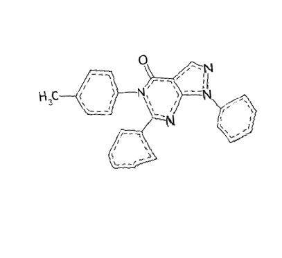 Cc1ccc(-n2c(-c3ccccc3)nc3c(cnn3-c3ccccc3)c2=O)cc1